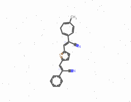 CC1=CCC=C(/C(C#N)=C/c2ccc(/C=C(\C#N)c3ccccc3)s2)C=C1